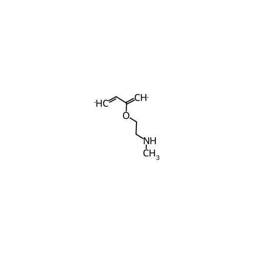 [CH]=CC(=[CH])OCCNC